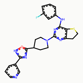 Fc1cccc(Nc2nc(N3CCC(c4nc(-c5cccnc5)no4)CC3)nc3c2SCC3)c1